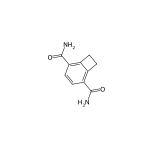 NC(=O)c1ccc(C(N)=O)c2c1CC2